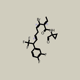 C/C=C(C(=O)NC1(C=O)CC1)\C(Br)=C/C/C=C/C(c1ccc(F)c(F)c1)C(F)(F)F